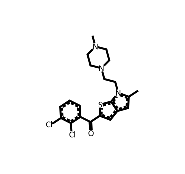 Cc1cc2cc(C(=O)c3cccc(Cl)c3Cl)sc2n1CCN1CCN(C)CC1